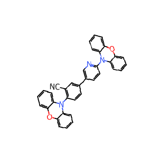 N#Cc1cc(-c2ccc(N3c4ccccc4Oc4ccccc43)nc2)ccc1N1c2ccccc2Oc2ccccc21